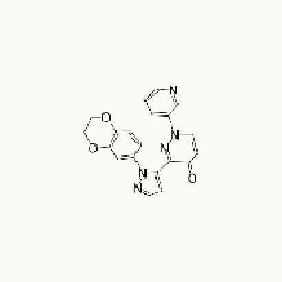 O=c1ccn(-c2cccnc2)nc1-c1ccnn1-c1ccc2c(c1)OCCO2